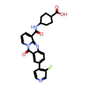 O=C(NC1CCC(C(=O)O)CC1)c1cccn2c(=O)c3cc(-c4ccncc4F)ccc3nc12